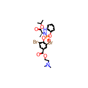 CC(C)OC(=O)[C@H](C)NP(=O)(Oc1ccccc1)Oc1c(Br)cc(C(=O)OCCN(C)C)cc1Br